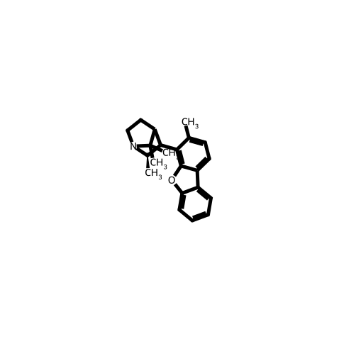 Cc1ccc2c(oc3ccccc32)c1C1C2CCN([C@@H]1C)C2(C)C